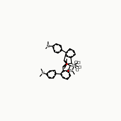 CC1=Cc2c(-c3ccc(N(C)C)cc3)cccc2[CH]1[Zr]([Cl])([Cl])([Cl])([Cl])([CH]1C(C)=Cc2c(-c3ccc(N(C)C)cc3)cccc21)[SiH](C)C